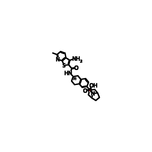 Cc1ccc2c(N)c(C(=O)N[C@@H]3CCc4cc(N5CC6CCC(C5)N6C(=O)O)ccc4C3)sc2n1